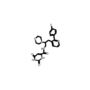 O=C(NCC(Cc1cccnc1-c1ccc(F)cc1)N1CCOCC1)c1cc(=O)[nH]c(=O)[nH]1